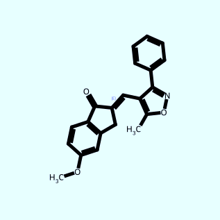 COc1ccc2c(c1)C/C(=C\c1c(-c3ccccc3)noc1C)C2=O